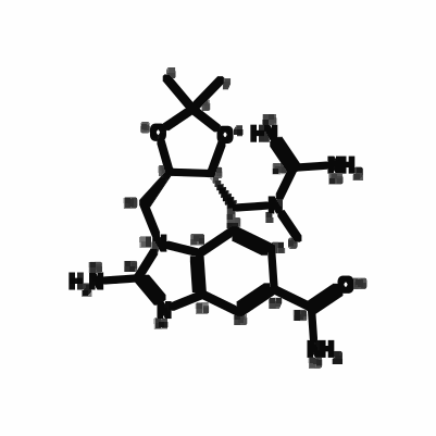 CN(C[C@H]1OC(C)(C)O[C@@H]1Cn1c(N)nc2cc(C(N)=O)ccc21)C(=N)N